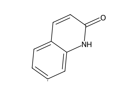 O=c1ccc2cc[c]cc2[nH]1